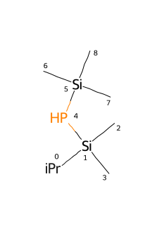 CC(C)[Si](C)(C)P[Si](C)(C)C